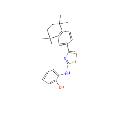 CC1(C)CCC(C)(C)c2cc(-c3csc(Nc4ccccc4O)n3)ccc21